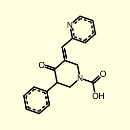 O=C1C(=Cc2ccccn2)CN(C(=O)O)CC1c1ccccc1